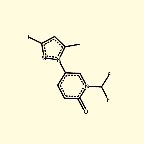 Cc1cc(I)nn1-c1ccc(=O)n(C(F)F)c1